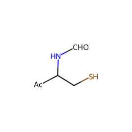 CC(=O)C(CS)NC=O